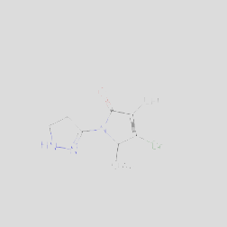 CC(=O)OC1C(Br)=C(C)C(=O)N1C1=NNCC1